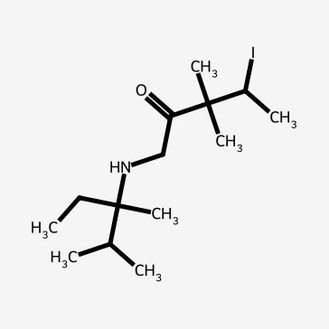 CCC(C)(NCC(=O)C(C)(C)C(C)I)C(C)C